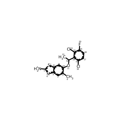 Cc1cc2nc(N)sc2cc1OC(C)c1c(Cl)ccc(F)c1Cl